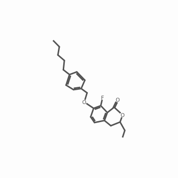 CCCCCc1ccc(COc2ccc3c(c2F)C(=O)OC(CC)C3)cc1